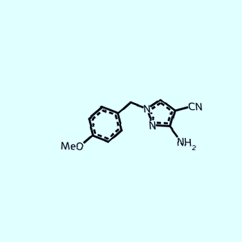 COc1ccc(Cn2cc(C#N)c(N)n2)cc1